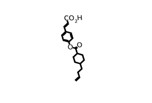 C=CCCC1CCC(C(=O)Oc2ccc(C=CC(=O)O)cc2)CC1